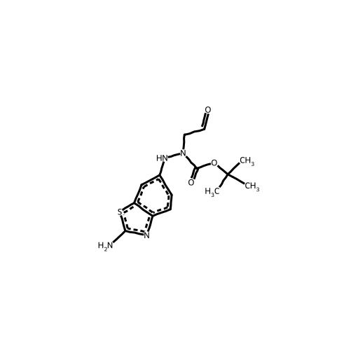 CC(C)(C)OC(=O)N(CC=O)Nc1ccc2nc(N)sc2c1